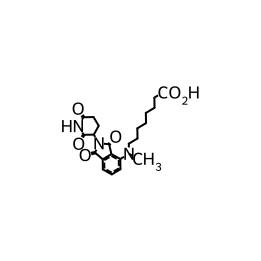 CN(CCCCCCCC(=O)O)c1cccc2c1C(=O)N(C1CCC(=O)NC1=O)C2=O